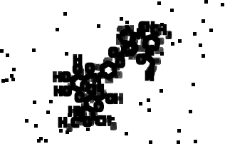 CCC1OC(CO)C(O)C(OC2OC(C(=O)NC3CCC(OC(=O)n4ccc5c(N(C)[C@H]6CN(C(=O)CC#N)CC[C@H]6C)ncnc54)CC3)C(O)C(O)C2O)C1NC(C)=O